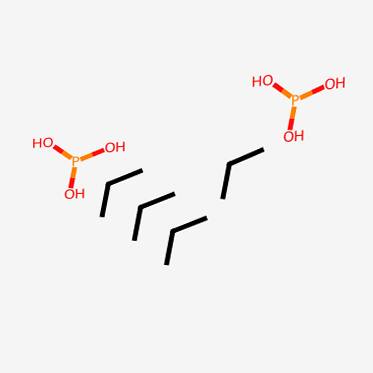 CCC.CCC.CCC.CCC.OP(O)O.OP(O)O